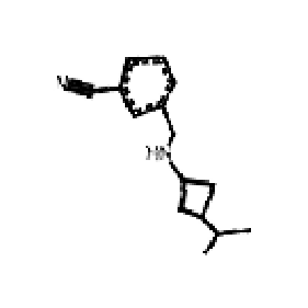 CC(C)C1CC(NCc2cccc(C#N)c2)C1